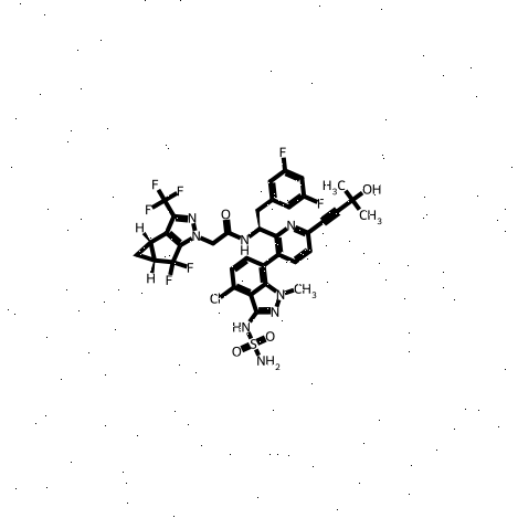 Cn1nc(NS(N)(=O)=O)c2c(Cl)ccc(-c3ccc(C#CC(C)(C)O)nc3[C@H](Cc3cc(F)cc(F)c3)NC(=O)Cn3nc(C(F)(F)F)c4c3C(F)(F)[C@@H]3C[C@H]43)c21